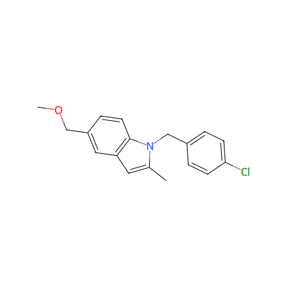 COCc1ccc2c(c1)cc(C)n2Cc1ccc(Cl)cc1